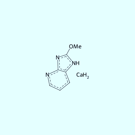 COc1nc2ncccc2[nH]1.[CaH2]